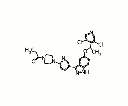 CCC(=O)N1CCN(c2ccc(-c3n[nH]c4ccc(OC(C)c5c(Cl)cncc5Cl)cc34)cn2)CC1